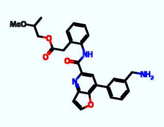 COC(C)COC(=O)Cc1ccccc1NC(=O)c1cc(-c2cccc(CN)c2)c2occc2n1